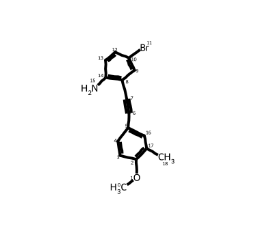 COc1ccc(C#Cc2cc(Br)ccc2N)cc1C